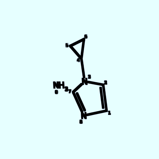 N.c1cn(C2CC2)cn1